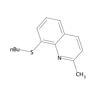 CCCCSc1cccc2ccc(C)nc12